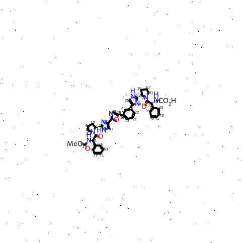 COC(=O)N[C@@H](C(=O)N1CCC[C@H]1c1nc(-c2ncc(-c3cccc(-c4c[nH]c([C@@H]5CCCN5C(=O)[C@H](NC(=O)O)c5ccccc5)n4)c3)o2)c[nH]1)c1ccccc1